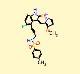 COc1cc[nH]c1/C=C1\C(=O)Nc2ccc(F)c(C#CCNS(=O)(=O)c3ccc(C)cc3)c21